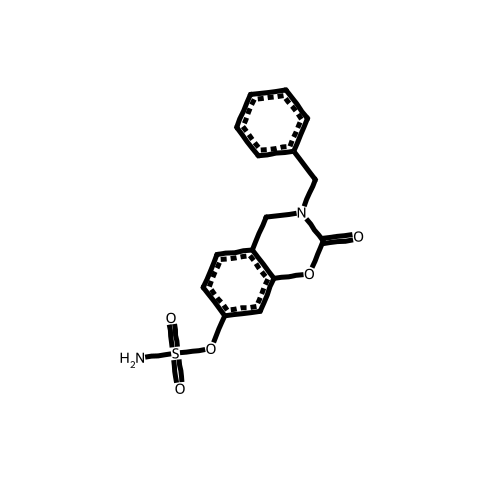 NS(=O)(=O)Oc1ccc2c(c1)OC(=O)N(Cc1ccccc1)C2